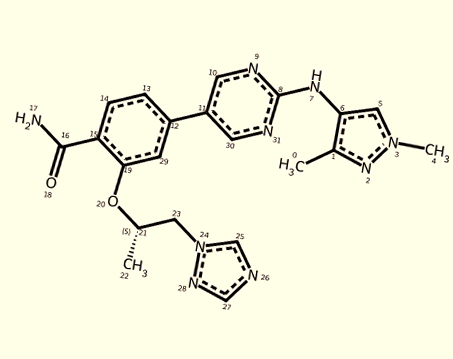 Cc1nn(C)cc1Nc1ncc(-c2ccc(C(N)=O)c(O[C@@H](C)Cn3cncn3)c2)cn1